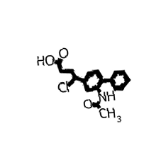 CC(=O)Nc1cc(C(Cl)CCC(=O)O)ccc1-c1ccccc1